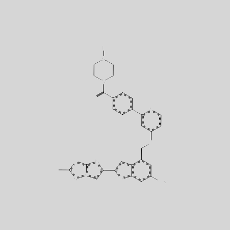 CCN1CCN(C(=O)c2ccc(-c3cc(OCc4cc(OC)cc5oc(-c6cn7nc(C)sc7n6)cc45)ccn3)cc2)CC1